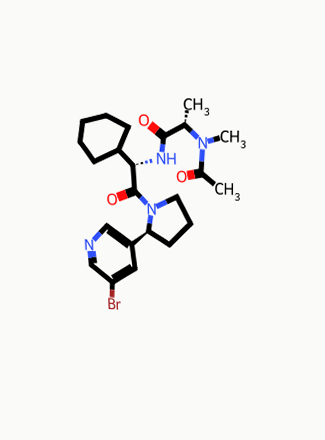 CC(=O)N(C)[C@@H](C)C(=O)N[C@H](C(=O)N1CCC[C@H]1c1cncc(Br)c1)C1CCCCC1